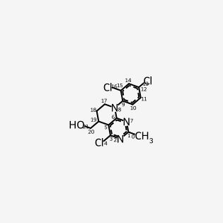 Cc1nc(Cl)c2c(n1)N(c1ccc(Cl)cc1Cl)CCC2CO